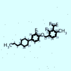 CCCC1CCC(c2ccc(OCc3ccc(C)c(C(F)F)c3F)c(F)c2)CC1